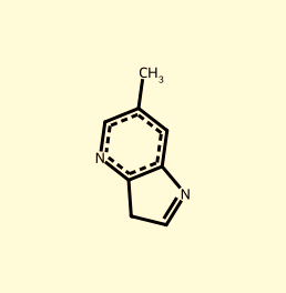 Cc1cnc2c(c1)N=CC2